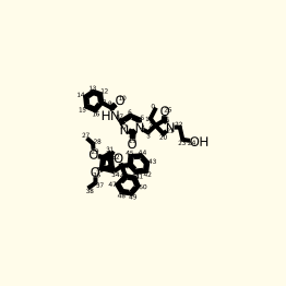 CCC1(Cn2ccc(NC(=O)c3ccccc3)nc2=O)CN(CCO)C1=O.CCOc1c2ccc(c1OCC)C(c1ccccc1)(c1ccccc1)O2